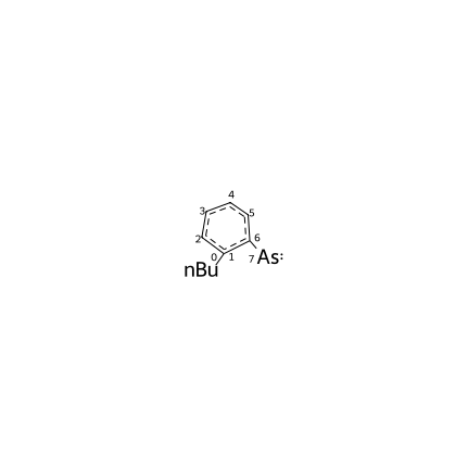 CCCCc1ccccc1[As]